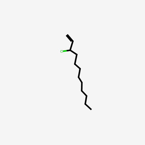 C=CC(Cl)CCCCCCCCC